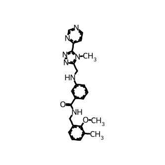 COc1c(C)cccc1CNC(=O)c1cccc(NCc2nnc(-c3ccncn3)n2C)c1